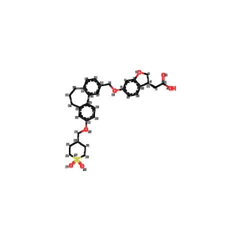 O=C(O)C[C@@H]1COc2cc(OCc3ccc4c(c3)-c3ccc(OCC5CCS(=O)(=O)CC5)cc3CCC4)ccc21